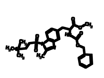 COC(=O)C(Cc1ccc2c(c1)nc(C)n2S(=O)(=O)CC[Si](C)(C)C)NC(=O)OCc1ccccc1